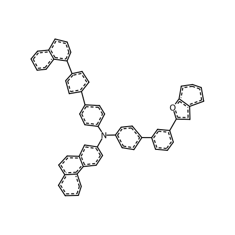 c1cc(-c2ccc(N(c3ccc(-c4ccc(-c5cccc6ccccc56)cc4)cc3)c3ccc4c(ccc5ccccc54)c3)cc2)cc(-c2cc3ccccc3o2)c1